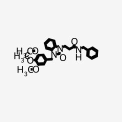 COc1cc(Cn2c(=O)n(CCC(=O)NCc3ccccc3)c3ccccc32)cc(OC)c1OC